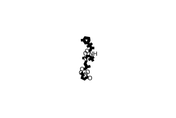 C/C(=C\CN(C)C(=O)C(NC(=O)C(C)C(C)(C)c1cccc(C)c1)C(C)(C)C)C(=O)ON1C(=O)CCC1=O